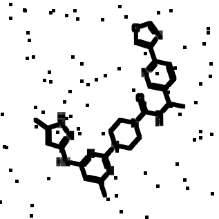 Cc1cc(Nc2cc(C)[nH]n2)nc(N2CCN(C(=O)NC(C)c3ccc(-c4cocn4)nc3)CC2)n1